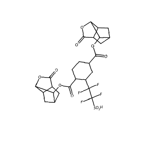 O=C(OC1C2CC3C(=O)OC1C3C2)C1CCC(C(=O)OC2C3CC4C(=O)OC2C4C3)C(C(F)(F)C(F)(F)S(=O)(=O)O)C1